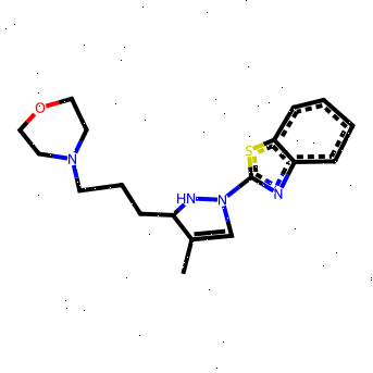 CC1=CN(c2nc3ccccc3s2)NC1CCCN1CCOCC1